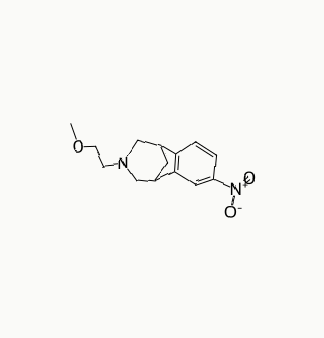 COCCN1CC2CC(C1)c1cc([N+](=O)[O-])ccc12